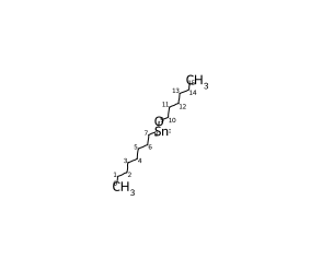 CCCCCCC[CH2][Sn][O]CCCCCC